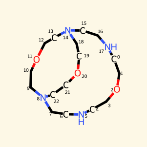 C1COCCNCCN2CCOCCN(CCN1)CCOCC2